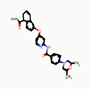 CNC(=O)C1CC=Cc2cc(Oc3ccnc(NC(=O)c4ccc(N5CC(C)OC(C)C5)cc4)c3)ccc21